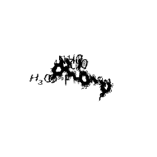 COc1ccc2ncc(Cl)c([C@@H](F)CC[C@@H]3CCN(CCSc4cc(F)ccn4)C[C@H]3CC(=O)O)c2c1